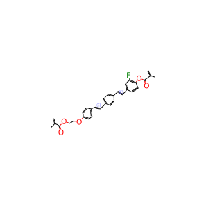 C=C(C)C(=O)OCCOc1ccc(/C=C/c2ccc(/C=C/c3ccc(OC(=O)C(=C)C)c(F)c3)cc2)cc1